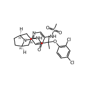 CC(C)(Oc1ccc(Cl)cc1Cl)C(=O)N[C@H]1C[C@H]2CC[C@@H](C1)N2c1ccc(NS(C)(=O)=O)cn1